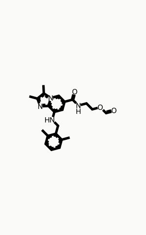 Cc1cccc(C)c1CNc1cc(C(=O)NCCOC=O)cn2c(C)c(C)nc12